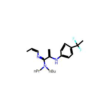 C=C(Nc1ccc(C(C)(F)F)cc1)/C(=N\C=C/C)N(CCC)CCCC